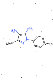 CCc1ccc(-n2nc(OC)c(N)c2N)cc1